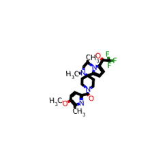 COc1ccc(C(=O)N2CCC3(CC2)c2ccc(C(=O)C(F)(F)F)n2C(C)CN3C)nc1C